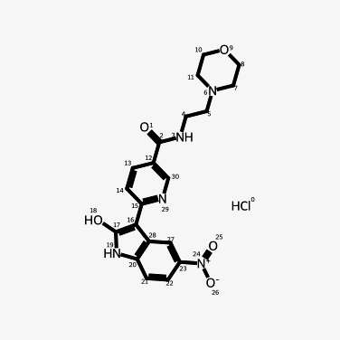 Cl.O=C(NCCN1CCOCC1)c1ccc(-c2c(O)[nH]c3ccc([N+](=O)[O-])cc23)nc1